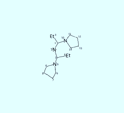 CCC([N]C(CC)N1CCCC1)N1CCCC1